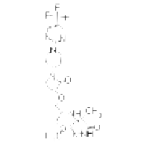 COC[C@@H](CO[C@H]1CCN(C2CCN(c3ncc(C(F)(F)F)cn3)CC2)C1=O)Nc1cn[nH]c(=O)c1C